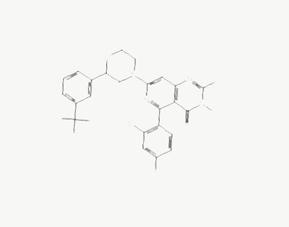 Cc1nc2cc(N3CCOC(c4cccc(C(F)(F)F)c4)C3)nc(-c3ccc(Cl)cc3F)c2c(=O)n1C